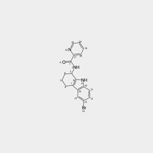 O=C(NC1CCCc2c1[nH]c1ccc(Br)cc21)c1ccccn1